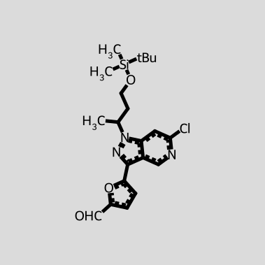 CC(CCO[Si](C)(C)C(C)(C)C)n1nc(-c2ccc(C=O)o2)c2cnc(Cl)cc21